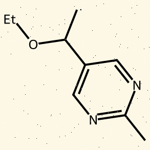 [CH2]C(OCC)c1cnc(C)nc1